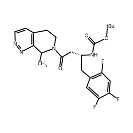 CC1c2nnccc2CCN1C(=O)C[C@@H](Cc1cc(F)c(F)cc1F)NC(=O)OC(C)(C)C